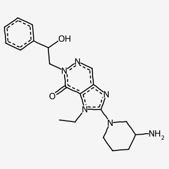 CCn1c(N2CCCC(N)C2)nc2cnn(CC(O)c3ccccc3)c(=O)c21